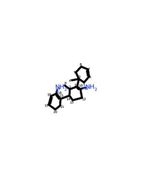 CC1C(C2(C)CC=CCC2)=C(N)CCC1C1=C(N)C=CCC1